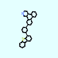 c1cc(-c2ccc3c4ccccc4c4ccncc4c3c2)cc(-c2cccc3c2sc2ccccc23)c1